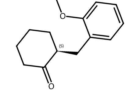 COc1ccccc1C[C@@H]1CCCCC1=O